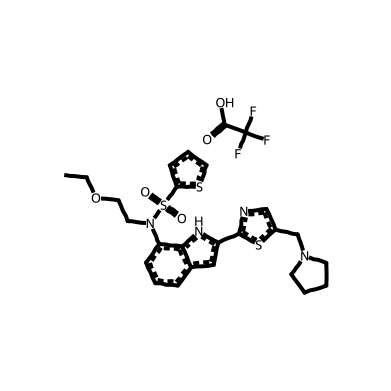 CCOCCN(c1cccc2cc(-c3ncc(CN4CCCC4)s3)[nH]c12)S(=O)(=O)c1cccs1.O=C(O)C(F)(F)F